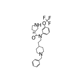 O=C([C@@H]1CCNC1)N(CCC1CCN(Cc2ccccc2)CC1)c1cccc(OC(F)(F)F)c1